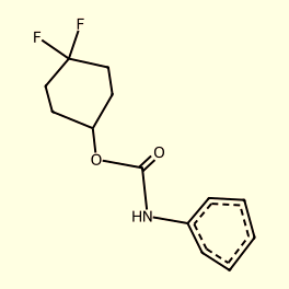 O=C(Nc1ccccc1)OC1CCC(F)(F)CC1